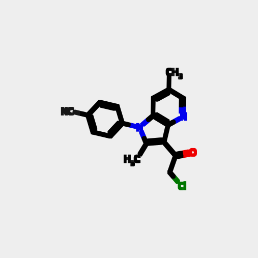 Cc1cnc2c(C(=O)CCl)c(C)n(-c3ccc(C#N)cc3)c2c1